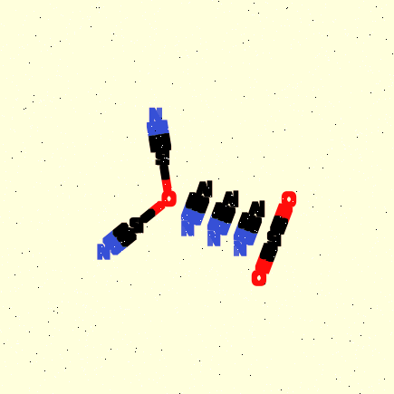 N#[Si]O[Si]#N.O=[Si]=O.[N]#[Al].[N]#[Al].[N]#[Al]